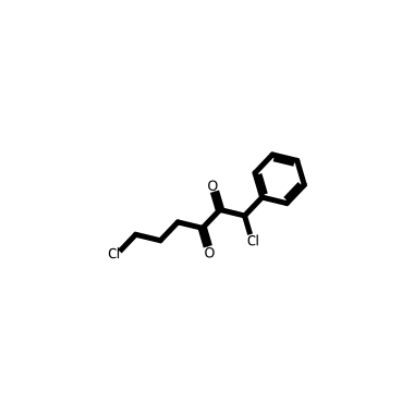 O=C(CCCCl)C(=O)C(Cl)c1ccccc1